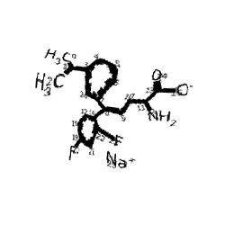 CC(C)c1cccc(/C(=C\CC(N)C(=O)[O-])c2ccc(F)cc2F)c1.[Na+]